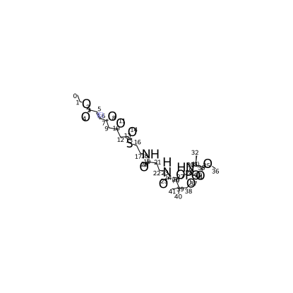 CCOC(=O)/C=C/C(=O)CC(=O)CC(=O)SCCNC(=O)CCNC(=O)[C@@H]1OP(=O)(N[C@@H](C)C(=O)OC)OCC1(C)C